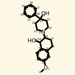 COc1ccc2c(c1)CCC(N1CCC(O)(c3ccccc3)CC1)C2O